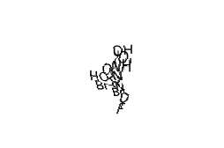 O=C(O)CNC(=O)c1ncc2c(c1O)c(Br)c(Br)n2Cc1ccc(F)cc1